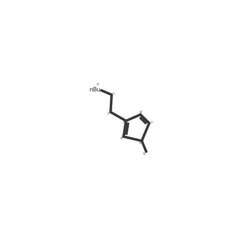 CCCCCCC1=C[C](C)C=C1